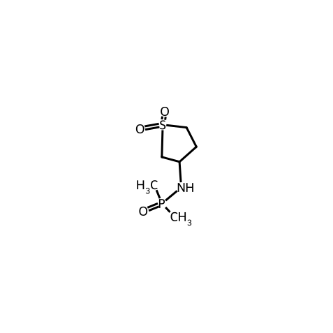 CP(C)(=O)NC1CCS(=O)(=O)C1